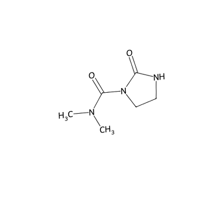 CN(C)C(=O)N1CCNC1=O